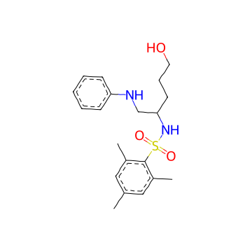 Cc1cc(C)c(S(=O)(=O)NC(CCCO)CNc2ccccc2)c(C)c1